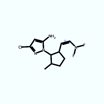 CC1CCC(/C=C\N(F)F)C1n1nc(Cl)cc1N